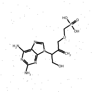 C=C(COCP(=O)(O)O)C(CO)n1cnc2c(N)nc(N)nc21